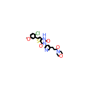 COc1ccc(Cl)c(-c2cc3[nH]c(=O)n(-c4cncc(CCC(=O)N5CCOCC5)c4)c(=O)c3s2)c1